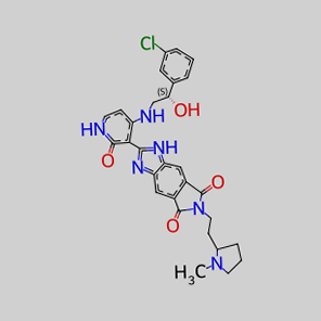 CN1CCCC1CCN1C(=O)c2cc3nc(-c4c(NC[C@@H](O)c5cccc(Cl)c5)cc[nH]c4=O)[nH]c3cc2C1=O